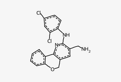 NCc1cc2c(nc1Nc1ccc(Cl)cc1Cl)-c1ccccc1OC2